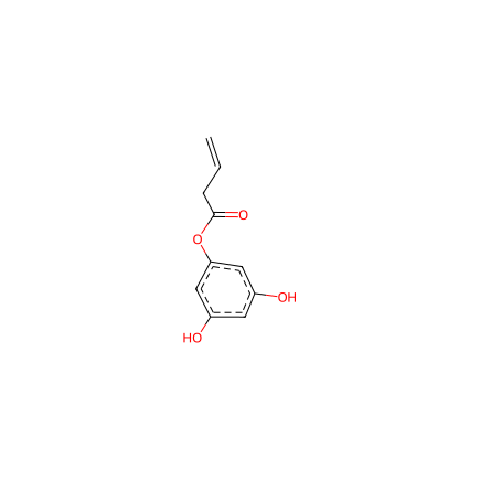 C=CCC(=O)Oc1cc(O)cc(O)c1